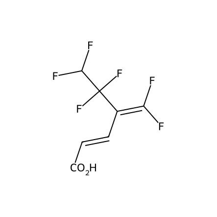 O=C(O)C=CC(=C(F)F)C(F)(F)C(F)F